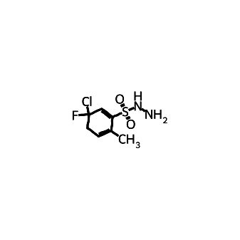 CC1=CCC(F)(Cl)C=C1S(=O)(=O)NN